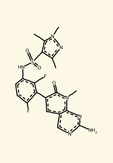 Cc1nn(C)c(C)c1S(=O)(=O)Nc1ccc(F)c(-c2cc3cnc(N)nc3n(C)c2=O)c1F